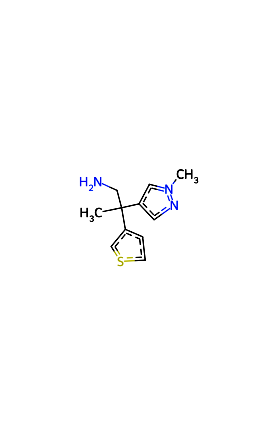 Cn1cc(C(C)(CN)c2ccsc2)cn1